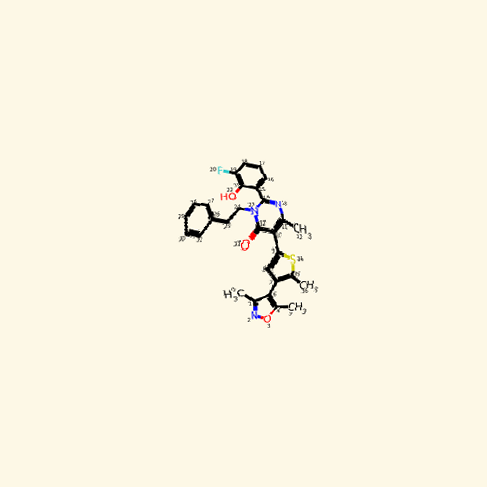 Cc1noc(C)c1-c1cc(-c2c(C)nc(-c3cccc(F)c3O)n(CCc3ccccc3)c2=O)sc1C